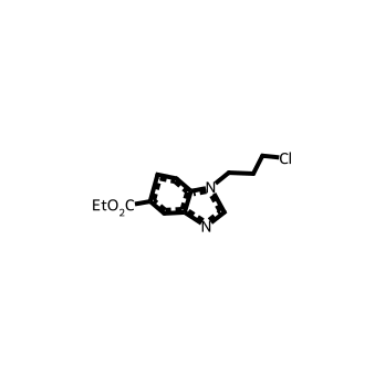 CCOC(=O)c1ccc2c(c1)ncn2CCCCl